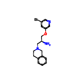 CCc1cncc(OC[C@@H](N)CN2CCc3ccccc3C2)c1